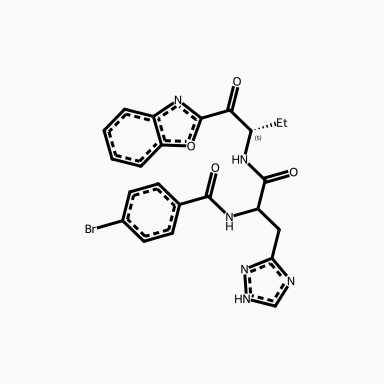 CC[C@H](NC(=O)C(Cc1nc[nH]n1)NC(=O)c1ccc(Br)cc1)C(=O)c1nc2ccccc2o1